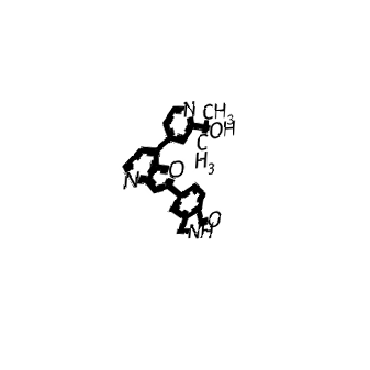 CC(C)(O)c1cc(-c2ccnc3cc(-c4ccc5c(c4)CNC5=O)oc23)ccn1